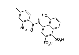 Cc1ccc(C(=O)Nc2cc(S(=O)(=O)O)c(S(=O)(=O)O)c3cccc(O)c23)c(N)c1